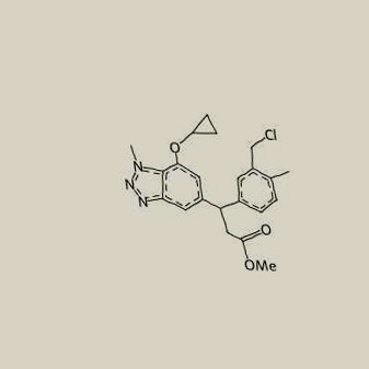 COC(=O)CC(c1ccc(C)c(CCl)c1)c1cc(OC2CC2)c2c(c1)nnn2C